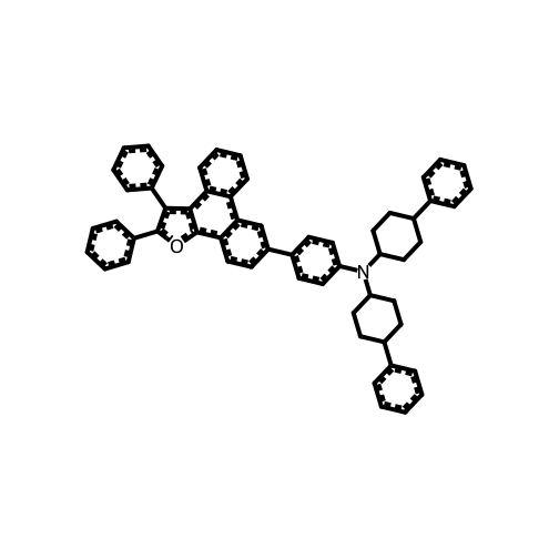 c1ccc(-c2oc3c4ccc(-c5ccc(N(C6CCC(c7ccccc7)CC6)C6CCC(c7ccccc7)CC6)cc5)cc4c4ccccc4c3c2-c2ccccc2)cc1